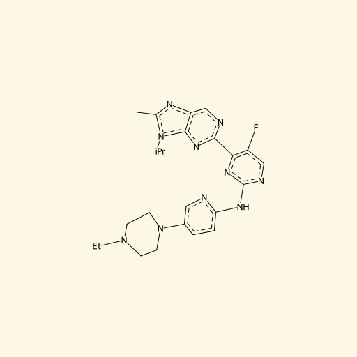 CCN1CCN(c2ccc(Nc3ncc(F)c(-c4ncc5nc(C)n(C(C)C)c5n4)n3)nc2)CC1